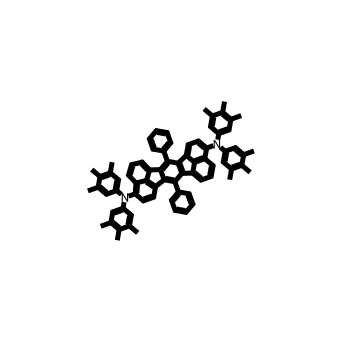 Cc1cc(N(c2cc(C)c(C)c(C)c2)c2ccc3c4c(-c5ccccc5)c5c6cccc7c(N(c8cc(C)c(C)c(C)c8)c8cc(C)c(C)c(C)c8)ccc(c5c(-c5ccccc5)c4c4cccc2c43)c76)cc(C)c1C